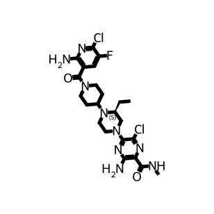 CC[C@H]1CN(c2nc(N)c(C(=O)NC)nc2Cl)CCN1C1CCN(C(=O)c2cc(F)c(Cl)nc2N)CC1